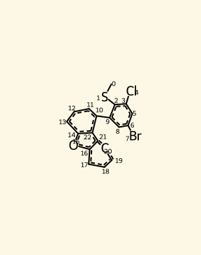 CSc1c(Cl)cc(Br)cc1-c1cccc2oc3ccccc3c12